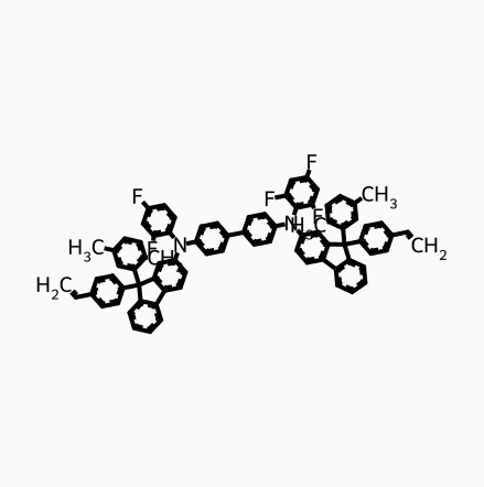 C=Cc1ccc(C2(c3cc(C)ccc3C)c3ccccc3-c3ccc(N(c4ccc(-c5ccc(N(c6ccc7c(c6)C(c6ccc(C=C)cc6)(c6cc(C)ccc6C)c6ccccc6-7)c6c(F)cc(F)cc6F)cc5)cc4)c4ccc(F)cc4F)cc32)cc1